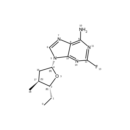 CC[C@H]1O[C@@H](n2cnc3c(N)nc(F)nc32)C[C@@H]1C